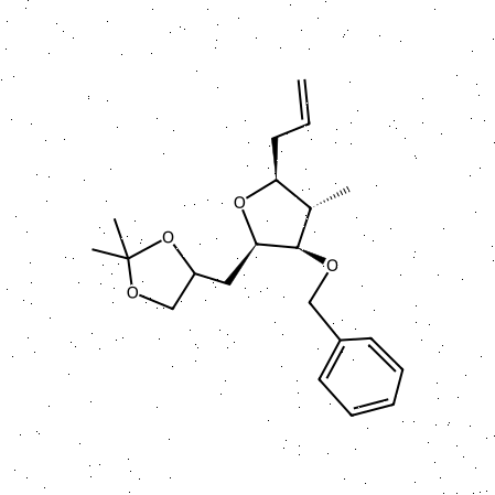 C=CC[C@@H]1O[C@H](CC2COC(C)(C)O2)[C@H](OCc2ccccc2)[C@H]1C